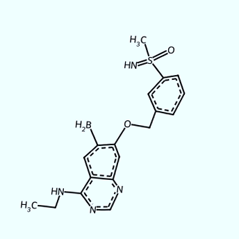 Bc1cc2c(NCC)ncnc2cc1OCc1cccc(S(C)(=N)=O)c1